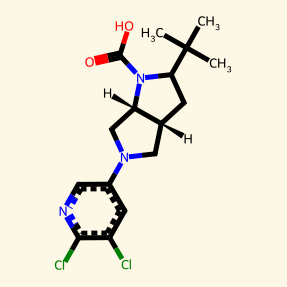 CC(C)(C)C1C[C@@H]2CN(c3cnc(Cl)c(Cl)c3)C[C@@H]2N1C(=O)O